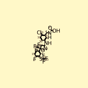 O=C(O)NCc1cc(NC2=NOC(c3ccc(F)c(SC(F)(F)F)c3)(C(F)(F)F)C2)ccc1Cl